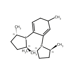 CC1C=C(P2[C@@H](C)CC[C@@H]2C)C(P2[C@@H](C)CC[C@@H]2C)=CC1